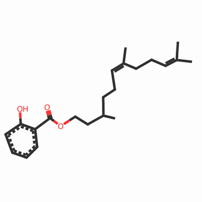 CC(C)=CCCC(C)=CCCC(C)CCOC(=O)c1ccccc1O